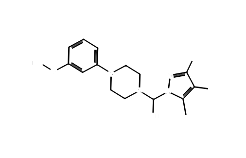 Cc1c(Cl)c(C(F)(F)F)nn1C(C=O)N1CCN(c2cccc(OC(F)(F)F)c2)CC1